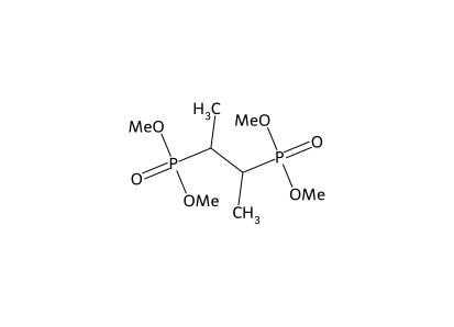 COP(=O)(OC)C(C)C(C)P(=O)(OC)OC